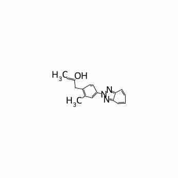 CC=C(O)Cc1ccc(-n2nc3ccccc3n2)cc1C